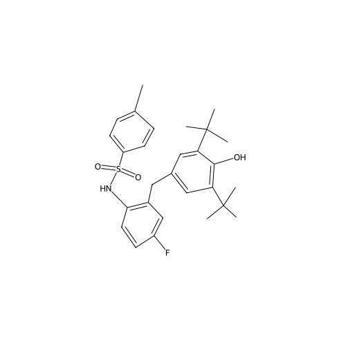 Cc1ccc(S(=O)(=O)Nc2ccc(F)cc2Cc2cc(C(C)(C)C)c(O)c(C(C)(C)C)c2)cc1